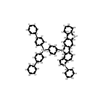 c1ccc(-c2ccc(N(c3ccc(-c4ccccc4)cc3)c3ccc(-n4c5cc6c(cc5c5ccc7c(ccn7-c7ccccc7)c54)sc4ccccc46)cc3)cc2)cc1